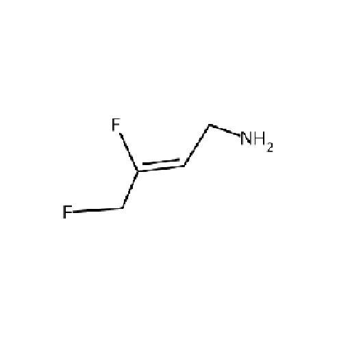 NCC=C(F)CF